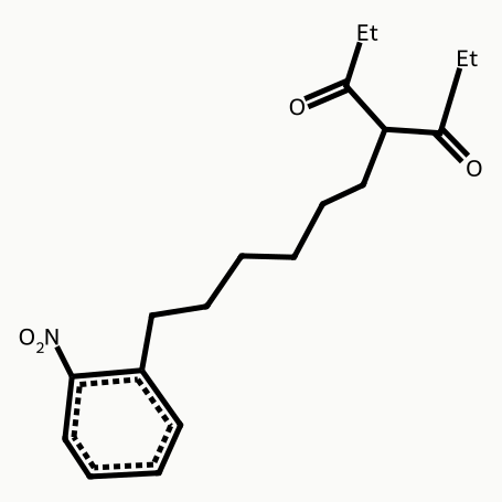 CCC(=O)C(CCCCCCc1ccccc1[N+](=O)[O-])C(=O)CC